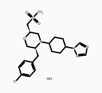 CS(=O)(=O)C[C@H]1CN(C2CCC(n3cncn3)CC2)[C@@H](Cc2ccc(Cl)cc2)CO1.Cl